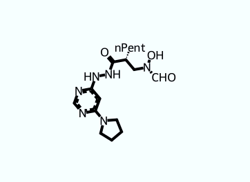 CCCCC[C@H](CN(O)C=O)C(=O)NNc1cc(N2CCCC2)ncn1